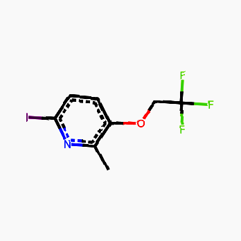 Cc1nc(I)ccc1OCC(F)(F)F